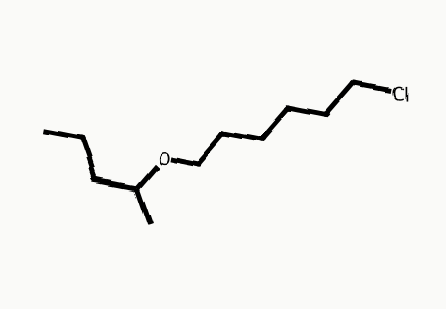 CCCC(C)OCCCCCCCl